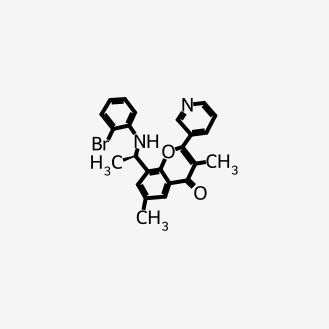 Cc1cc([C@@H](C)Nc2ccccc2Br)c2oc(-c3cccnc3)c(C)c(=O)c2c1